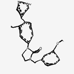 COc1cccc(CN2CCN(c3ccc(-c4cn[nH]c4)c(C)c3)C2=O)c1